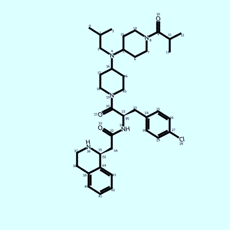 CC(C)CN(C1CCN(C(=O)C(C)C)CC1)C1CCN(C(=O)[C@@H](Cc2ccc(Cl)cc2)NC(=O)C[C@@H]2NCCc3ccccc32)CC1